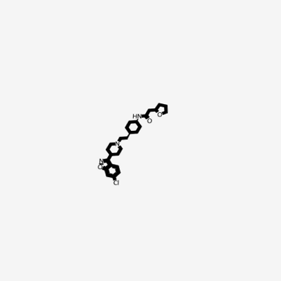 O=C(CC1CCCO1)N[C@H]1CC[C@H](CCN2CCC(c3noc4cc(Cl)ccc34)CC2)CC1